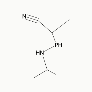 CC(C)NPC(C)C#N